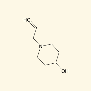 [CH]=CCN1CCC(O)CC1